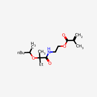 C=C(C)C(=O)OCCNC(=O)C(C)(CC)OC(C)CCCC